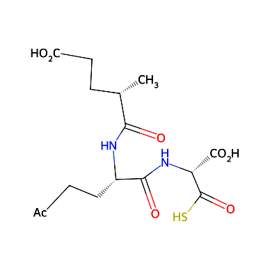 CC(=O)CC[C@H](NC(=O)[C@@H](C)CCC(=O)O)C(=O)N[C@H](C(=O)O)C(=O)S